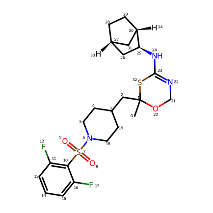 CC1(CC2CCN(S(=O)(=O)c3c(F)cccc3F)CC2)OCN=C(N[C@H]2C[C@@H]3CC[C@H]2C3)S1